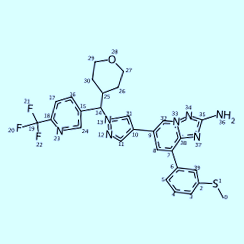 CSc1cccc(-c2cc(-c3cnn(C(c4ccc(C(F)(F)F)nc4)C4CCOCC4)c3)cn3nc(N)nc23)c1